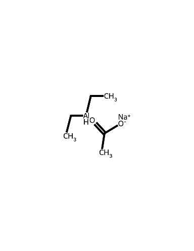 CC(=O)[O-].C[CH2][AlH][CH2]C.[Na+]